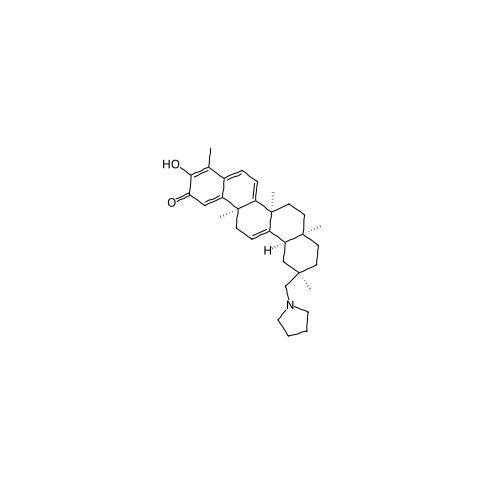 CC1=C(O)C(=O)C=C2C1=CC=C1[C@@]2(C)CC=C2[C@@H]3C[C@](C)(CN4CCCC4)CC[C@]3(C)CC[C@@]21C